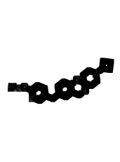 COc1ccc(Cc2ccc3c(c2)COC2(CCN(C4CCC4)CC2)O3)cn1